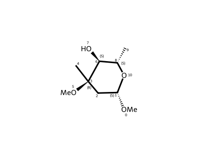 CO[C@@H]1C[C@@](C)(OC)[C@@H](O)[C@H](C)O1